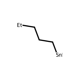 CCCC[CH2][Sn]